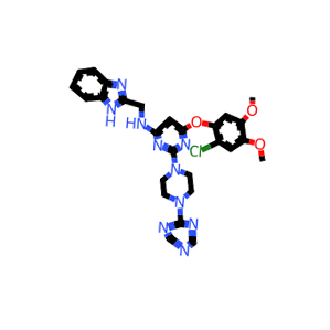 COc1cc(Cl)c(Oc2cc(NCc3nc4ccccc4[nH]3)nc(N3CCN(c4ncncn4)CC3)n2)cc1OC